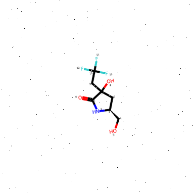 O=C1N[C@H](CO)CC1(O)CC(F)(F)F